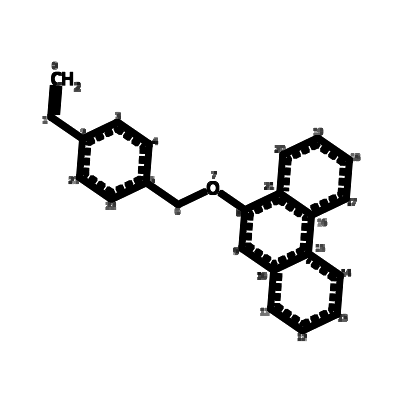 C=Cc1ccc(COc2cc3ccccc3c3ccccc23)cc1